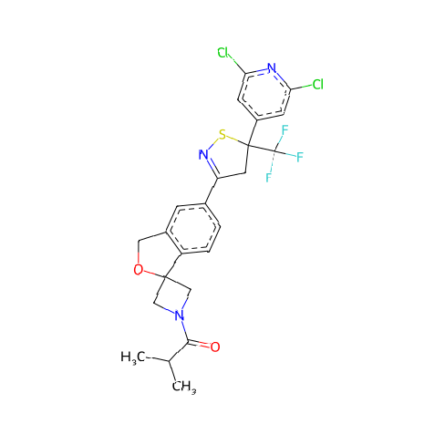 CC(C)C(=O)N1CC2(C1)OCc1cc(C3=NSC(c4cc(Cl)nc(Cl)c4)(C(F)(F)F)C3)ccc12